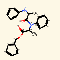 CC(Nc1ccccc1)C(=O)N(c1ccccc1)C(C)C(=O)OCc1ccccc1